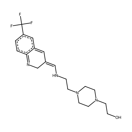 OCCN1CCN(CCNC=C2C=c3cc(C(F)(F)F)ccc3=NC2)CC1